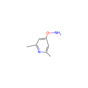 Cc1cc(ON)cc(C)n1